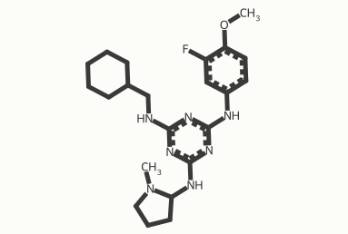 COc1ccc(Nc2nc(NCC3CCCCC3)nc(NC3CCCN3C)n2)cc1F